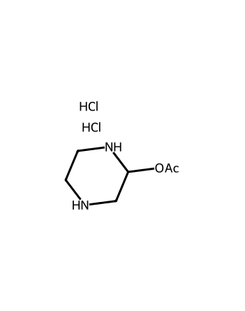 CC(=O)OC1CNCCN1.Cl.Cl